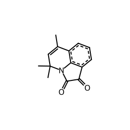 CC1=CC(C)(C)N2C(=O)C(=O)c3cccc1c32